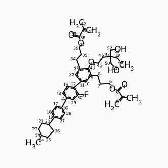 C=C(C)C(=O)OCCCc1cc(-c2ccc(-c3ccc(C4CCC(C)CC4)cc3)cc2F)cc(CCCOC(=O)C(=C)C)c1OCCC(CC)(CO)CO